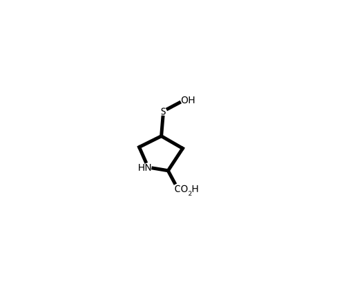 O=C(O)C1CC(SO)CN1